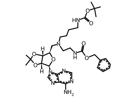 CC(C)(C)OC(=O)NCCCCN(CCNC(=O)OCc1ccccc1)C[C@H]1O[C@@H](n2cnc3c(N)ncnc32)[C@@H]2OC(C)(C)O[C@@H]21